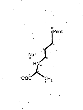 CCCCCCCCNC(C)C(=O)[O-].[Na+]